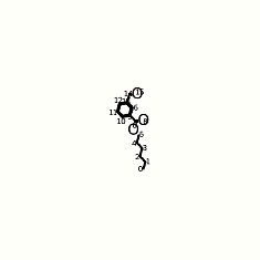 CCCCCCOC(=O)c1cccc([C]=O)c1